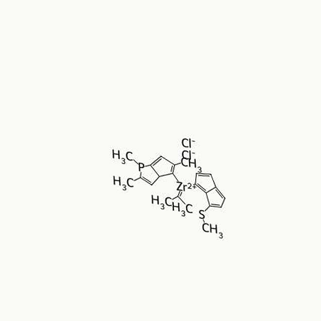 CSC1=CC=C2C=C[C]([Zr+2]([C]3=C(C)C=C4C3C=C(C)P4C)=[C](C)C)=C21.[Cl-].[Cl-]